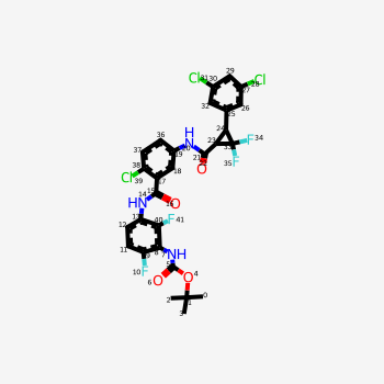 CC(C)(C)OC(=O)Nc1c(F)ccc(NC(=O)c2cc(NC(=O)C3C(c4cc(Cl)cc(Cl)c4)C3(F)F)ccc2Cl)c1F